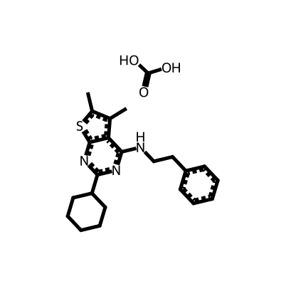 Cc1sc2nc(C3CCCCC3)nc(NCCc3ccccc3)c2c1C.O=C(O)O